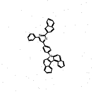 c1ccc(-c2cc(-c3ccc(-n4c5ccc6ccccc6c5c5c6ccccc6ccc54)cc3)nc(-c3ccc4ccccc4c3)n2)cc1